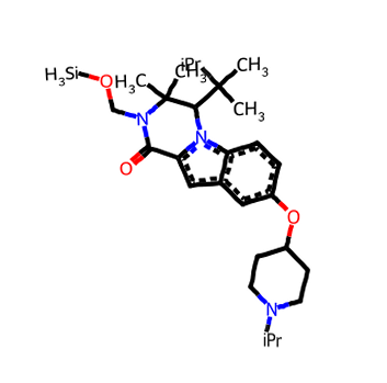 CC(C)N1CCC(Oc2ccc3c(c2)cc2n3C(C(C)(C)C(C)C)C(C)(C)N(CO[SiH3])C2=O)CC1